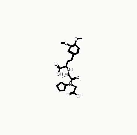 COc1ccc(CCC(N[C@@H](C)C(=O)N(CC(=O)O)C2CCCC2)C(=O)O)cc1OC